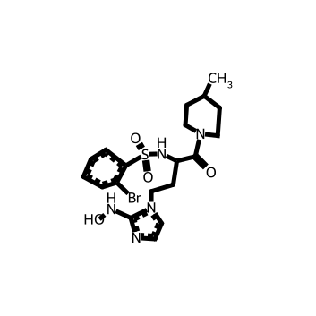 CC1CCN(C(=O)C(CCn2ccnc2NO)NS(=O)(=O)c2ccccc2Br)CC1